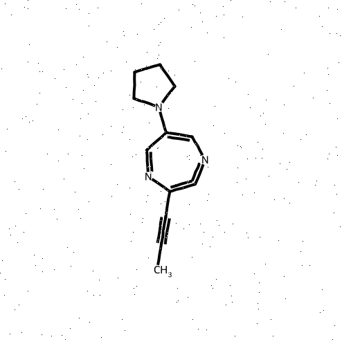 CC#CC1=C=NC=C(N2CCCC2)C=N1